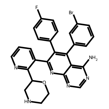 Nc1ncnc2nc(-c3cccnc3C3CNCCO3)c(-c3ccc(F)cc3)c(-c3cccc(Br)c3)c12